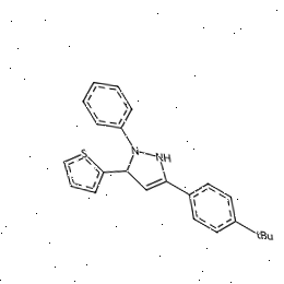 CC(C)(C)c1ccc(C2=CC(c3cccs3)N(c3ccccc3)N2)cc1